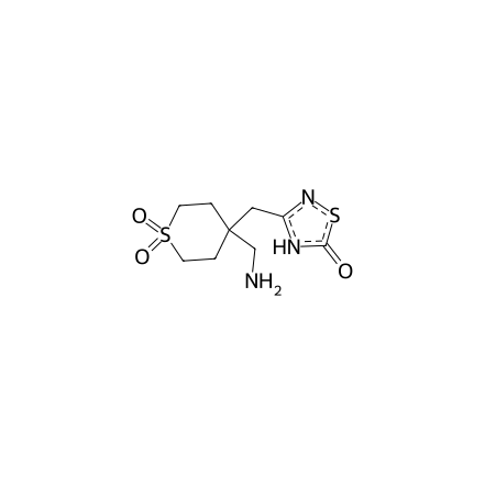 NCC1(Cc2nsc(=O)[nH]2)CCS(=O)(=O)CC1